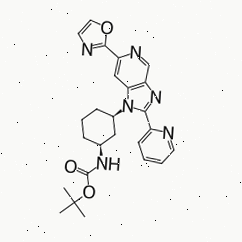 CC(C)(C)OC(=O)N[C@H]1CCC[C@@H](n2c(-c3ccccn3)nc3cnc(-c4ncco4)cc32)C1